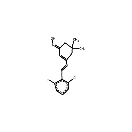 CC1(C)CC(C=Cc2c(Cl)cccc2Cl)=CC(=NO)C1